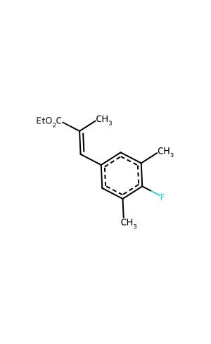 CCOC(=O)/C(C)=C/c1cc(C)c(F)c(C)c1